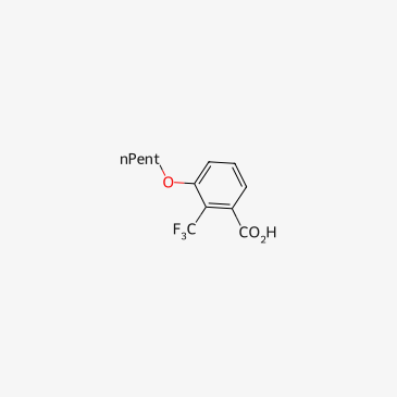 CCCCCOc1cccc(C(=O)O)c1C(F)(F)F